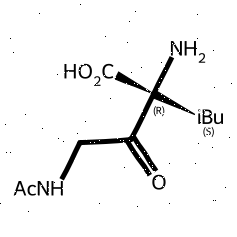 CC[C@H](C)[C@](N)(C(=O)O)C(=O)CNC(C)=O